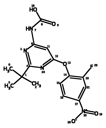 CC(C)(C)c1nc(NC(=O)O)cc(Oc2ccc([N+](=O)[O-])cc2F)n1